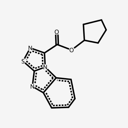 O=C(OC1CCCC1)c1nsc2nc3ccccc3n12